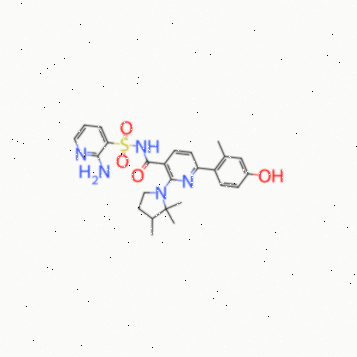 Cc1cc(O)ccc1-c1ccc(C(=O)NS(=O)(=O)c2cccnc2N)c(N2CCC(C)C2(C)C)n1